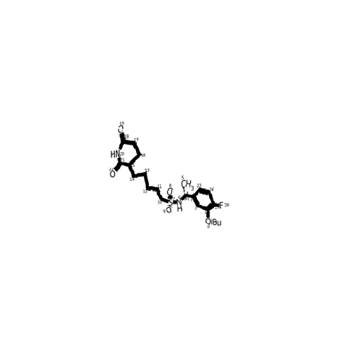 CC(C)COc1cc([C@@H](C)NS(=O)(=O)CCCCCC2CCC(=O)NC2=O)ccc1F